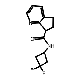 O=C(NC1CC(F)(F)C1)C1CCc2cccnc21